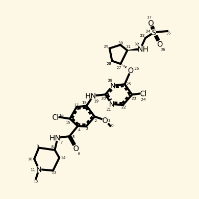 COc1cc(C(=O)NC2CCN(C)CC2)c(Cl)cc1Nc1ncc(Cl)c(O[C@@H]2CCC[C@H]2NCS(C)(=O)=O)n1